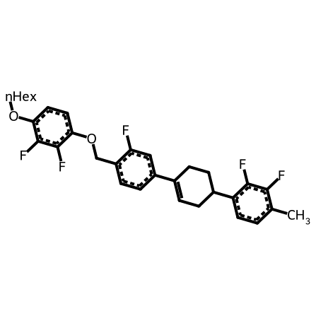 CCCCCCOc1ccc(OCc2ccc(C3=CCC(c4ccc(C)c(F)c4F)CC3)cc2F)c(F)c1F